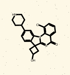 O=c1nc2n(c3c(Cl)cccc13)-c1cc(C3CCNCC3)ccc1C21CC(O)C1